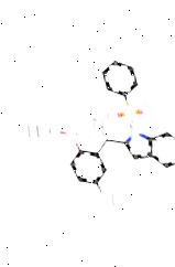 COc1ccc(Cl)cc1[C@@H](N)c1cc2ccccc2n1S(=O)(=O)c1ccccc1